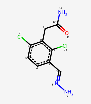 NN=Cc1ccc(Cl)c(CC(N)=O)c1Cl